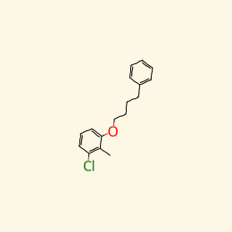 Cc1c(Cl)cccc1OCCCCc1ccccc1